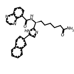 NC(=O)CCCCC[C@H](NC(=O)c1cccc2nccnc12)c1ncc(-c2ccc3ccccc3c2)[nH]1